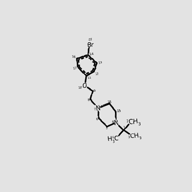 CC(C)(C)N1CCN(CCOc2ccc(Br)cc2)CC1